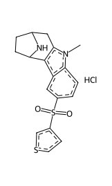 Cl.Cn1c2c(c3cc(S(=O)(=O)c4ccsc4)ccc31)C1CCC(C2)N1